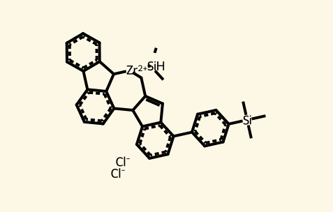 CCC1=Cc2c(-c3ccc([Si](C)(C)C)cc3)cccc2C1c1cccc2c1[CH]([Zr+2][SiH](C)C)c1ccccc1-2.[Cl-].[Cl-]